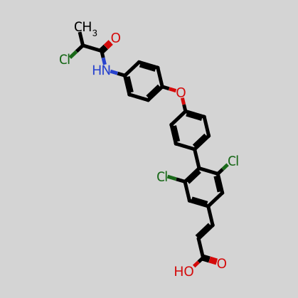 CC(Cl)C(=O)Nc1ccc(Oc2ccc(-c3c(Cl)cc(C=CC(=O)O)cc3Cl)cc2)cc1